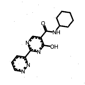 O=C(NC1CCCCC1)c1cnc(-c2cccnn2)nc1O